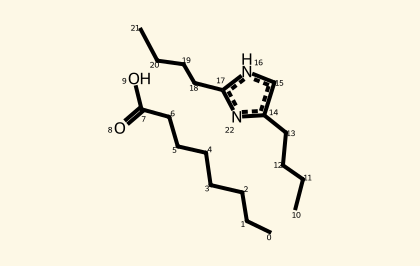 CCCCCCCC(=O)O.CCCCc1c[nH]c(CCCC)n1